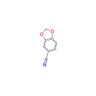 N#Cc1[c]cc2c(c1)OCO2